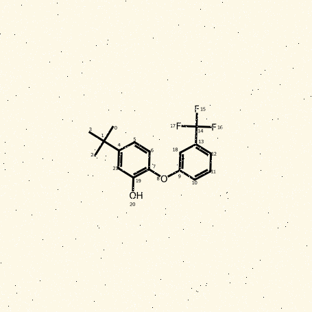 CC(C)(C)c1ccc(Oc2cccc(C(F)(F)F)c2)c(O)c1